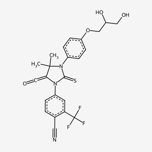 CC1(C)C(=C=O)N(c2ccc(C#N)c(C(F)(F)F)c2)C(=S)N1c1ccc(OCC(O)CO)cc1